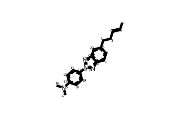 C/C=C/CCc1ccc2nn(-c3ccc(N(C)C)cc3)nc2c1